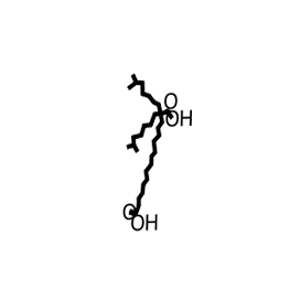 CC(C)CCCCCC(CCCCCCCCCCCCCC(=O)O)(CCCCCC(C)C)C(=O)O